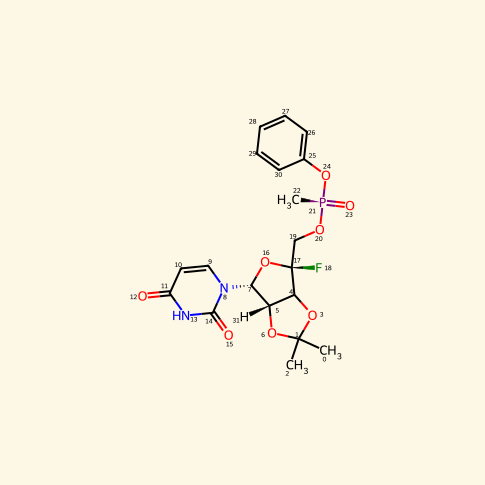 CC1(C)OC2[C@H](O1)[C@H](n1ccc(=O)[nH]c1=O)O[C@]2(F)CO[P@@](C)(=O)Oc1ccccc1